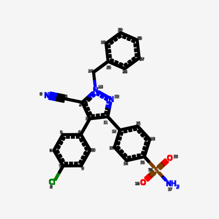 N#Cc1c(-c2ccc(Cl)cc2)c(-c2ccc(S(N)(=O)=O)cc2)nn1Cc1ccccc1